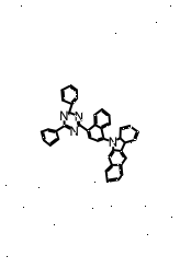 C1=CC2c3cc4ccccc4cc3N(c3ccc(-c4nc(-c5ccccc5)nc(-c5ccccc5)n4)c4ccccc34)C2C=C1